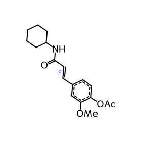 COc1cc(/C=C/C(=O)NC2CCCCC2)ccc1OC(C)=O